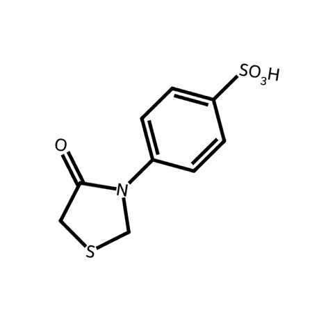 O=C1CSCN1c1ccc(S(=O)(=O)O)cc1